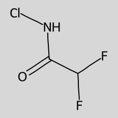 O=C(NCl)C(F)F